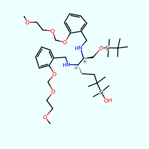 COCCOCOc1ccccc1CN[C@@H](CCC(C)(C)[Si](C)(C)O)[C@H](CO[Si](C)(C)C(C)(C)C)NCc1ccccc1OCOCCOC